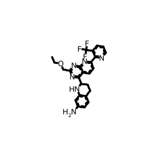 CCOCc1nc(C2CCc3ccc(N)cc3N2)c2ccc(-c3ncccc3C(F)(F)F)nc2n1